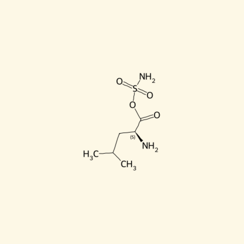 CC(C)C[C@H](N)C(=O)OS(N)(=O)=O